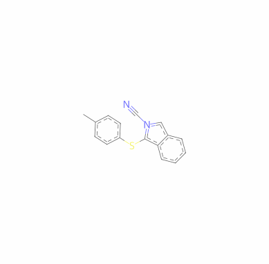 Cc1ccc(Sc2c3ccccc3cn2C#N)cc1